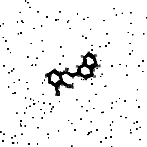 OC1=C(Cl)CNC=C1NCc1ccc2nccnc2c1